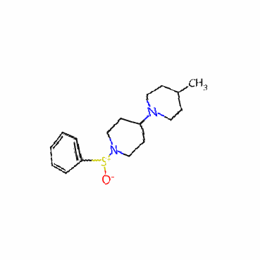 CC1CCN(C2CCN([S+]([O-])c3ccccc3)CC2)CC1